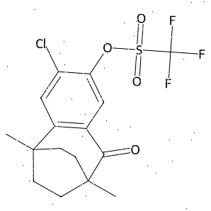 CC12CCC(C)(CC1)c1cc(Cl)c(OS(=O)(=O)C(F)(F)F)cc1C2=O